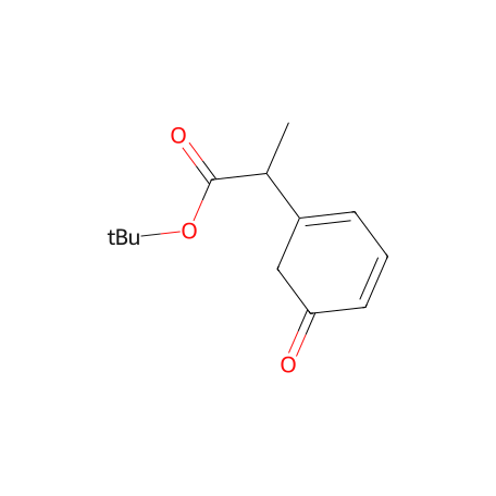 CC(C(=O)OC(C)(C)C)C1=CC=CC(=O)C1